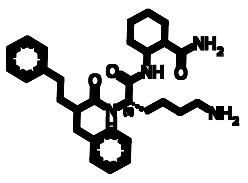 NCCCC[C@H](NC(=O)C(CCc1ccccc1)Cc1ccccc1)C(=O)NC1CCCCC1C(N)=O